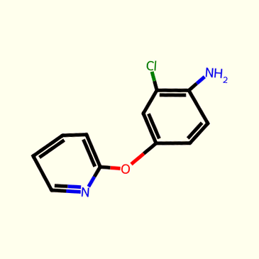 Nc1ccc(Oc2ccccn2)cc1Cl